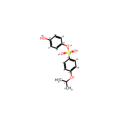 CC(C)Oc1ccc(S(=O)(=O)Oc2ccc(O)cc2)cc1